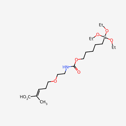 CCO[Si](CCCCCOC(=O)NCCOCCC=C(C)C(=O)O)(OCC)OCC